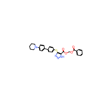 O=C(OCOC(=O)c1[nH]nnc1Sc1ccc(-c2ccc(N3CCCCC3)cc2)cc1)c1ccccc1